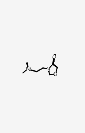 CN(C)CCN1COCC1=O